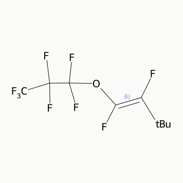 CC(C)(C)/C(F)=C(\F)OC(F)(F)C(F)(F)C(F)(F)F